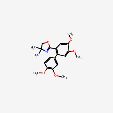 COc1ccc(-c2cc(OC)c(OC)cc2C2=NC(C)(C)CO2)cc1OC